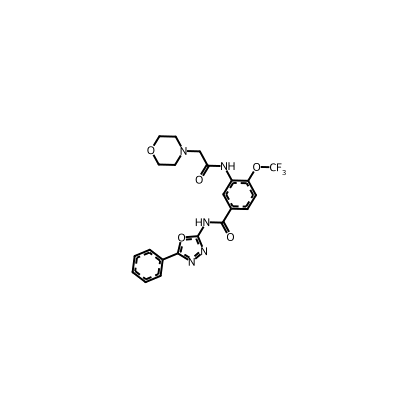 O=C(CN1CCOCC1)Nc1cc(C(=O)Nc2nnc(-c3ccccc3)o2)ccc1OC(F)(F)F